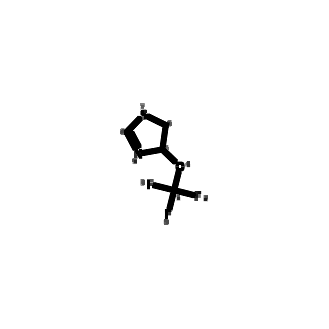 FC(F)(F)OC1CS[C]=N1